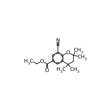 CCOC(=O)c1cc(C#N)c2c(c1)C(C)(C)CC(C)(C)O2